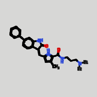 CCN(CC)CCCNC(=O)c1[nH]c(C=C2C(=O)Nc3cc(-c4ccccc4)ccc32)cc1C